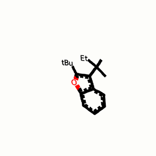 CCC(C)(C)c1c(C(C)(C)C)oc2ccccc12